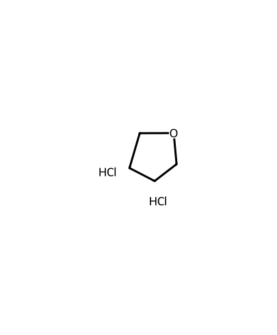 C1CCOC1.Cl.Cl